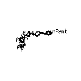 CCCCCc1ccc(CCC2CCC(COc3ccc(C(F)(F)Oc4cc(F)c(OC(F)=C(F)F)c(F)c4)c(F)c3)CC2)cc1